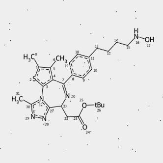 Cc1sc2c(c1C)C(c1ccc(CCCCNO)cc1)=NC(CC(=O)OC(C)(C)C)c1nnc(C)n1-2